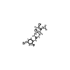 CC1CN(Cc2ccc(Br)cc2F)CCC12CN(C1CC1)C(=O)CO2